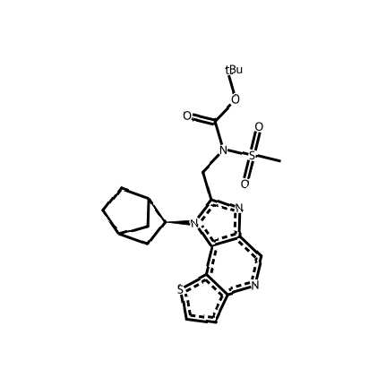 CC(C)(C)OC(=O)N(Cc1nc2cnc3ccsc3c2n1[C@H]1CC2CCC1C2)S(C)(=O)=O